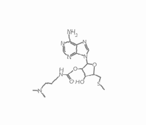 CSCC1OC(n2cnc3c(N)ncnc32)C(OC(=O)NCCN(C)C)C1O